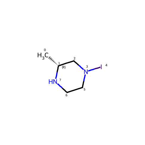 C[C@@H]1CN(I)CCN1